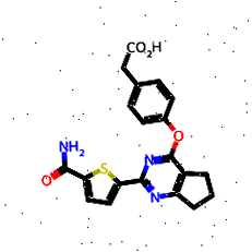 NC(=O)c1ccc(-c2nc3c(c(Oc4ccc(CC(=O)O)cc4)n2)CCC3)s1